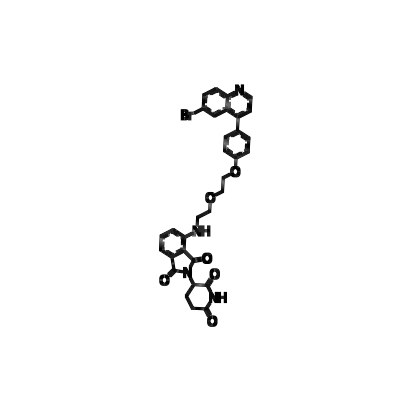 O=C1CCC(N2C(=O)c3cccc(NCCOCCOc4ccc(-c5ccnc6ccc(Br)cc56)cc4)c3C2=O)C(=O)N1